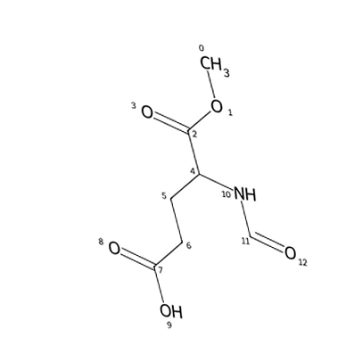 COC(=O)C(CCC(=O)O)NC=O